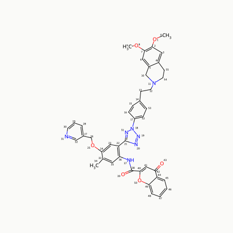 COc1cc2c(cc1OC)CN(CCc1ccc(-n3nnc(-c4cc(OCc5cccnc5)c(C)cc4NC(=O)c4cc(=O)c5ccccc5o4)n3)cc1)CC2